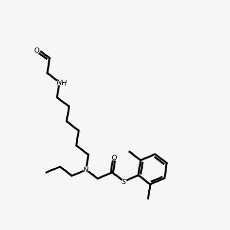 CCCN(CCCCCCNCC=O)CC(=O)Sc1c(C)cccc1C